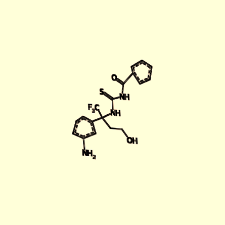 Nc1cccc(C(CCO)(NC(=S)NC(=O)c2ccccc2)C(F)(F)F)c1